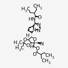 CCC(CC)C(=O)Nc1ncnn2c([C@@H]3O[C@](C#N)(COC(=O)C(CC)CC)[C@H]4OC(C)(C)O[C@@H]34)ccc12